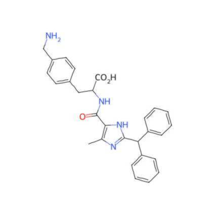 Cc1nc(C(c2ccccc2)c2ccccc2)[nH]c1C(=O)NC(Cc1ccc(CN)cc1)C(=O)O